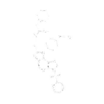 N#CC[C@H]1CC[C@H](n2c(CON=C(N)CN3CCCCC3)nc3cnc4c(ccn4S(=O)(=O)c4ccccc4)c32)CC1